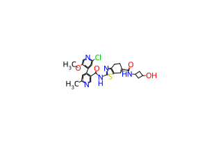 COc1cnc(Cl)cc1-c1cc(C)ncc1C(=O)Nc1nc2c(s1)C[C@H](C(=O)NC1CC(O)C1)CC2